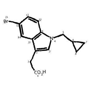 O=C(O)Cc1cn(CC2CC2)c2ccc(Br)cc12